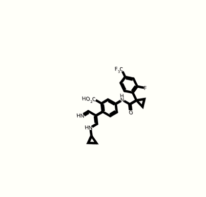 N=C/C(=C\NC1CC1)c1ccc(NC(=O)C2(c3ccc(C(F)(F)F)cc3F)CC2)cc1C(=O)O